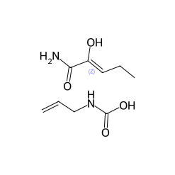 C=CCNC(=O)O.CC/C=C(\O)C(N)=O